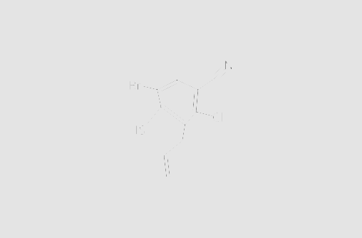 C=CCc1c(S)c(Br)cc(C#N)c1Cl